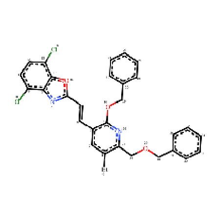 CCc1cc(/C=C/c2nc3c(Cl)ccc(Cl)c3o2)c(OCc2ccccc2)nc1COCc1ccccc1